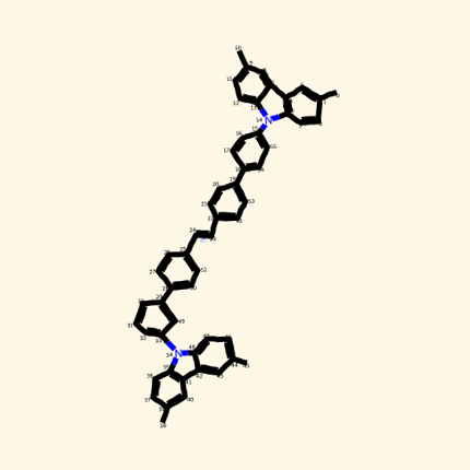 Cc1ccc2c(c1)c1cc(C)ccc1n2-c1ccc(-c2ccc(/C=C/c3ccc(-c4cccc(-n5c6ccc(C)cc6c6cc(C)ccc65)c4)cc3)cc2)cc1